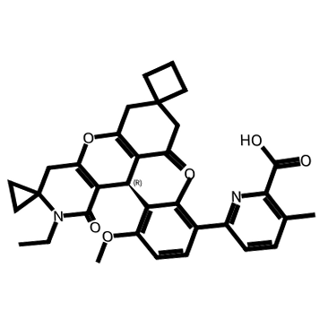 CCN1C(=O)C2=C(CC13CC3)OC1=C(C(=O)CC3(CCC3)C1)[C@H]2c1c(OC)ccc(-c2ccc(C)c(C(=O)O)n2)c1C